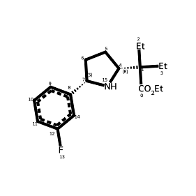 CCOC(=O)C(CC)(CC)[C@H]1CC[C@@H](c2cccc(F)c2)N1